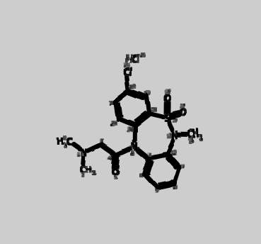 CN(C)CC(=O)N1c2ccccc2N(C)S(=O)(=O)c2cc(Cl)ccc21.Cl